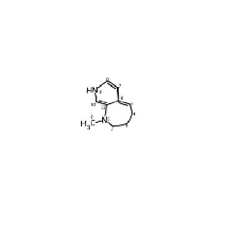 CN1CCCC=C2C=CNC=C21